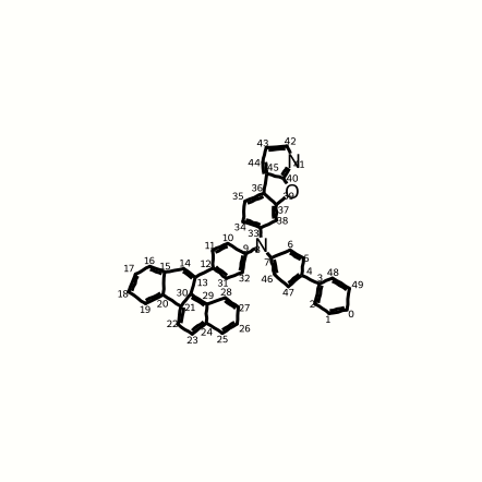 c1ccc(-c2ccc(N(c3ccc(-c4cc5ccccc5c5ccc6ccccc6c45)cc3)c3ccc4c(c3)oc3ncccc34)cc2)cc1